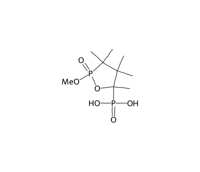 COP1(=O)OC(C)(P(=O)(O)O)C(C)(C)C1(C)C